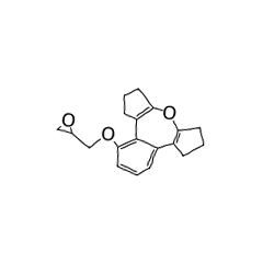 c1cc(OCC2CO2)c2c(c1)C1=C(CCC1)OC1=C2CCC1